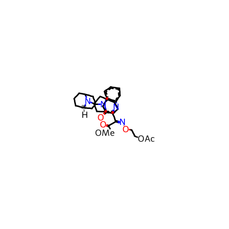 COC(=O)C(=NOCCOC(C)=O)c1nc2ccccc2n(C2CC3CCC[C@H](C2)N3C2CC3CCCC(C3)C2)c1=O